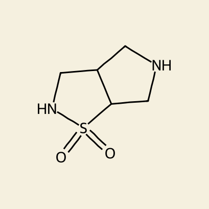 O=S1(=O)NCC2CNCC21